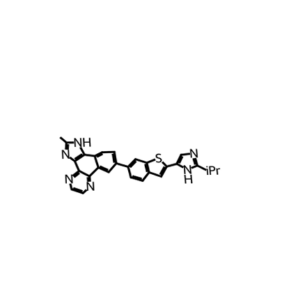 Cc1nc2c3nccnc3c3cc(-c4ccc5cc(-c6cnc(C(C)C)[nH]6)sc5c4)ccc3c2[nH]1